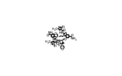 CCn1nc(C)cc1C(=O)Nc1nc2cc(C(N)=O)cc(OCCCN(C)C(=O)C3(N4CCOCC4)CC3)c2n1CCC[C@H]1COc2cc(C(N)=O)cc3nc(NC(=O)c4cc(C)nn4CC)n1c23